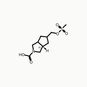 CS(=O)(=O)OCC1CC2CN(C(=O)O)C[C@H]2C1